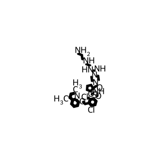 Cc1cc(C)c2cccc(OCc3c(Cl)ccc(S(=O)(=O)NC4(C(=O)N5CCN(C(=N)NCCNCCCN)CC5)CCCC4)c3Cl)c2n1